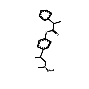 CCCCCN(C)CC(C)c1ccc(OC(=O)C(C)c2ccccc2)cc1